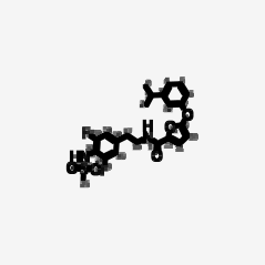 CC(C)c1cccc(Oc2ccc(C(=O)NCCc3cc(F)c(NS(C)(=O)=O)c(F)c3)o2)c1